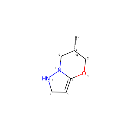 C[C@@H]1COC2=CCNN2C1